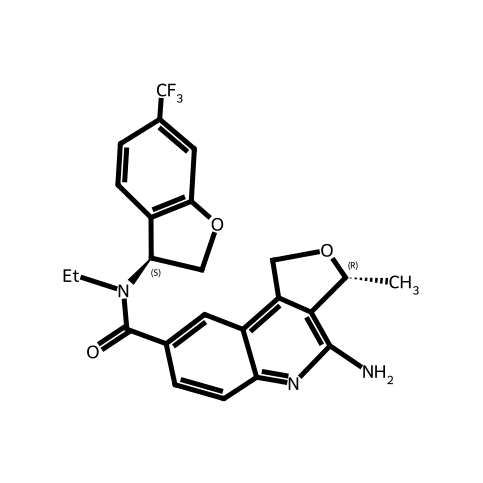 CCN(C(=O)c1ccc2nc(N)c3c(c2c1)CO[C@@H]3C)[C@@H]1COc2cc(C(F)(F)F)ccc21